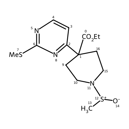 CCOC(=O)C1(c2ccnc(SC)n2)CCN([S+](C)[O-])CC1